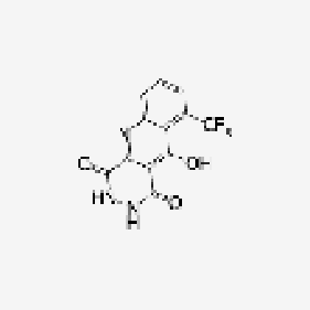 O=c1[nH][nH]c(=O)c2c(O)c3c(C(F)(F)F)cccc3nc12